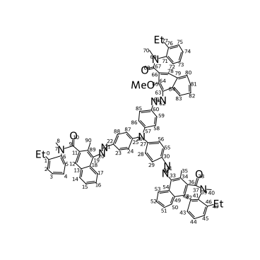 CCc1ccccc1N(C)C(=O)c1cc2ccccc2c(N=Nc2ccc(N(c3ccc(N=Nc4c(C)c(C(=O)N(C)c5ccccc5CC)cc5ccccc45)cc3)c3ccc(N=Nc4c(OC)c(C(=O)N(C)c5ccccc5CC)cc5ccccc45)cc3)cc2)c1C